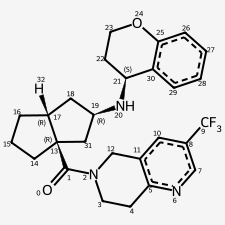 O=C(N1CCc2ncc(C(F)(F)F)cc2C1)[C@@]12CCC[C@@H]1C[C@@H](N[C@H]1CCOc3ccccc31)C2